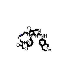 CN1CCc2ccc(Nc3ncc4c(=O)n5n(c4n3)-c3ccc4c(n3)N(CC/C=C/C5)C(=O)CO4)cc2C1